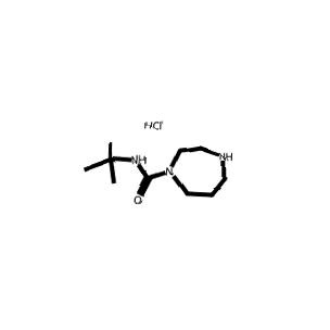 CC(C)(C)NC(=O)N1CCCNCC1.Cl